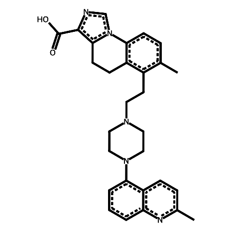 Cc1ccc2c(N3CCN(CCc4c(C)ccc5c4CCc4c(C(=O)O)ncn4-5)CC3)cccc2n1